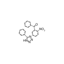 O=C(c1ccccc1)c1ccccc1[N+](=O)[O-].c1ccc(-c2nnn[nH]2)cc1